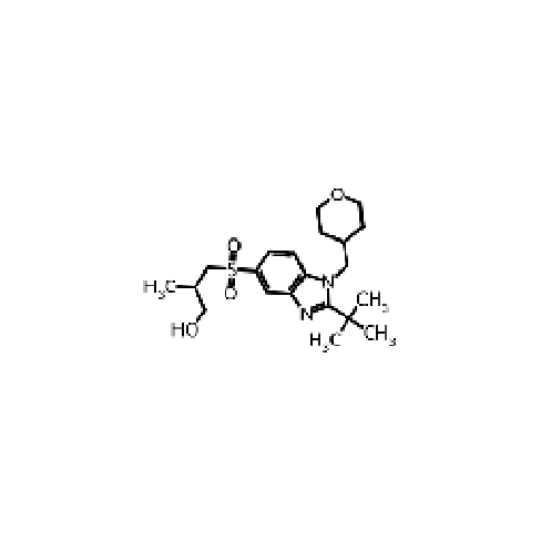 CC(CO)CS(=O)(=O)c1ccc2c(c1)nc(C(C)(C)C)n2CC1CCOCC1